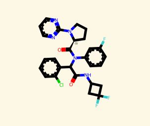 O=C(NC1CC(F)(F)C1)C(c1ccccc1Cl)N(C(=O)[C@@H]1CCCN1c1ncccn1)c1cccc(F)c1